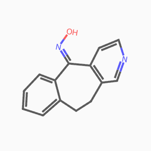 ON=C1c2ccccc2CCc2cnccc21